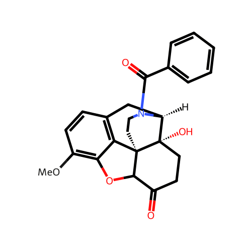 COc1ccc2c3c1OC1C(=O)CC[C@]4(O)[C@H](C2)N(C(=O)c2ccccc2)CC[C@@]314